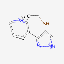 CCS.c1cncc(-c2cc[nH]n2)c1